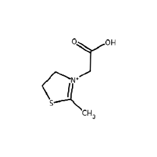 CC1=[N+](CC(=O)O)CCS1